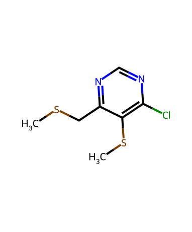 CSCc1ncnc(Cl)c1SC